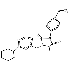 CC1C(=O)N(c2ccc(SC(F)(F)F)cc2)C(=O)N1Cc1ccnc(C2CCCCC2)c1